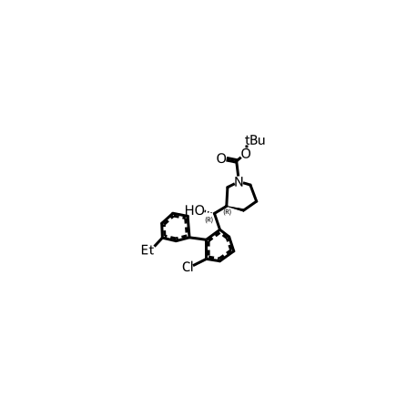 CCc1cccc(-c2c(Cl)cccc2[C@H](O)[C@@H]2CCCN(C(=O)OC(C)(C)C)C2)c1